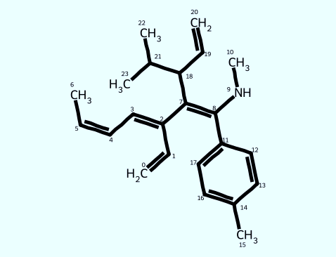 C=CC(=C\C=C/C)/C(=C(/NC)c1ccc(C)cc1)C(C=C)C(C)C